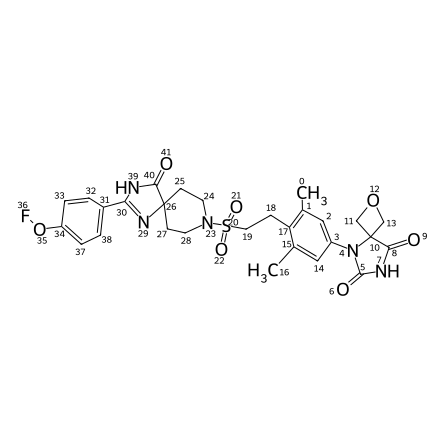 Cc1cc(N2C(=O)NC(=O)C23COC3)cc(C)c1CCS(=O)(=O)N1CCC2(CC1)N=C(c1ccc(OF)cc1)NC2=O